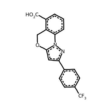 O=C(O)c1cccc2c1COc1cc(-c3ccc(C(F)(F)F)cc3)nn1-2